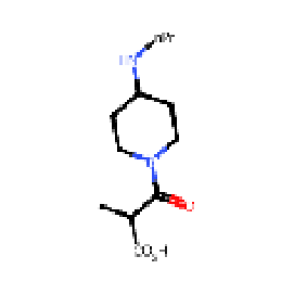 CCCNC1CCN(C(=O)C(C)C(=O)O)CC1